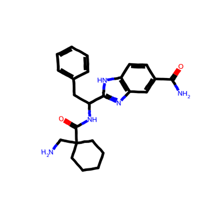 NCC1(C(=O)NC(Cc2ccccc2)c2nc3cc(C(N)=O)ccc3[nH]2)CCCCC1